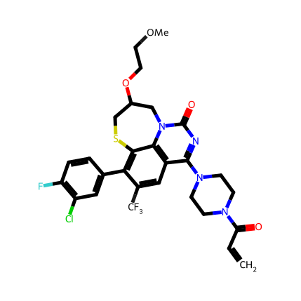 C=CC(=O)N1CCN(c2nc(=O)n3c4c(c(-c5ccc(F)c(Cl)c5)c(C(F)(F)F)cc24)SCC(OCCOC)C3)CC1